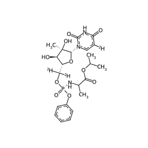 [2H]c1cn([C@@H]2O[C@H](C([2H])([2H])O[P@@](=O)(NC(C)C(=O)OC(C)C)Oc3ccccc3)[C@@H](O)[C@@]2(C)O)c(=O)[nH]c1=O